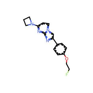 FCCOc1ccc(-c2cn3ccc(N4CCC4)nc3n2)cc1